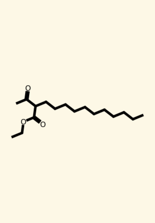 CCCCCCCCCCCC(C(C)=O)C(=O)OCC